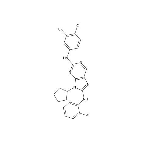 Fc1ccccc1Nc1nc2cnc(Nc3ccc(Cl)c(Cl)c3)nc2n1C1CCCC1